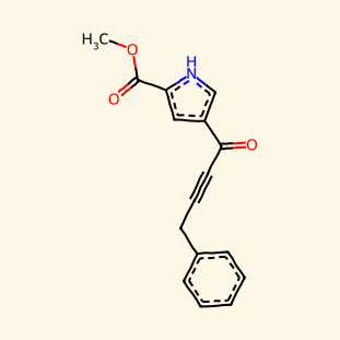 COC(=O)c1cc(C(=O)C#CCc2ccccc2)c[nH]1